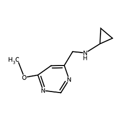 COc1cc(CNC2CC2)ncn1